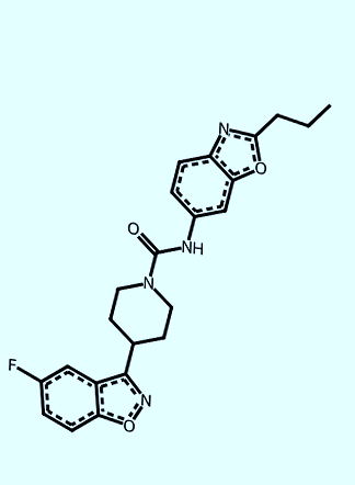 CCCc1nc2ccc(NC(=O)N3CCC(c4noc5ccc(F)cc45)CC3)cc2o1